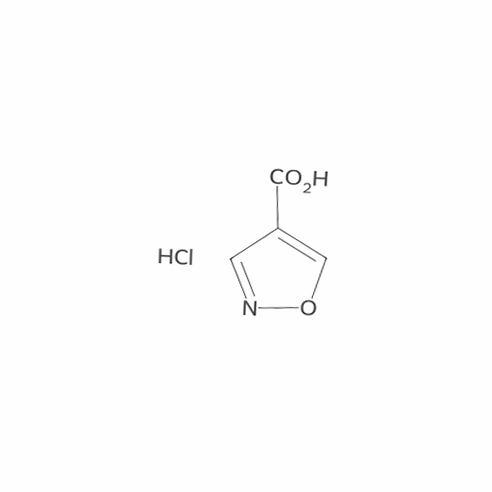 Cl.O=C(O)c1cnoc1